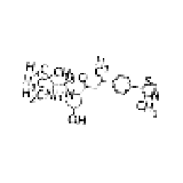 CN[C@H](C(=O)N1C[C@H](O)C[C@H]1C(=O)C[C@@H](C)c1ccc(-c2scnc2C)cc1)C(C)(C)C